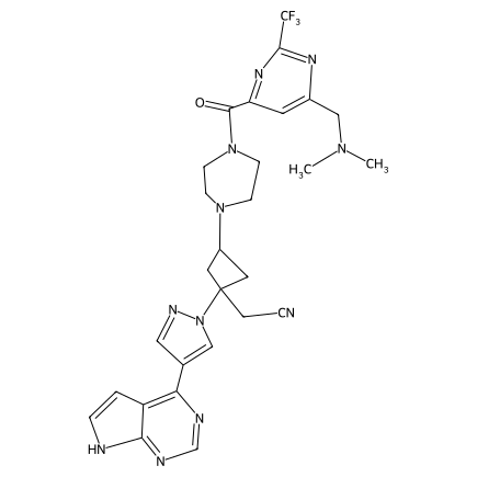 CN(C)Cc1cc(C(=O)N2CCN(C3CC(CC#N)(n4cc(-c5ncnc6[nH]ccc56)cn4)C3)CC2)nc(C(F)(F)F)n1